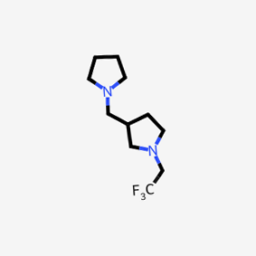 FC(F)(F)CN1CCC(CN2CCCC2)C1